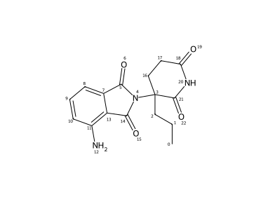 CCCC1(N2C(=O)c3cccc(N)c3C2=O)CCC(=O)NC1=O